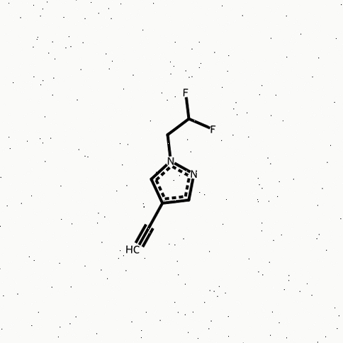 C#Cc1cnn(CC(F)F)c1